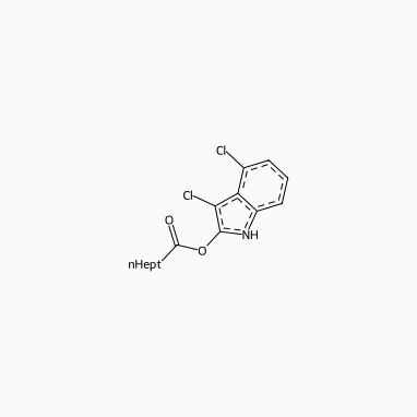 CCCCCCCC(=O)Oc1[nH]c2cccc(Cl)c2c1Cl